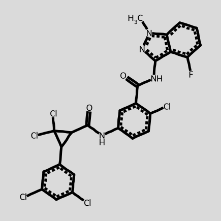 Cn1nc(NC(=O)c2cc(NC(=O)C3C(c4cc(Cl)cc(Cl)c4)C3(Cl)Cl)ccc2Cl)c2c(F)cccc21